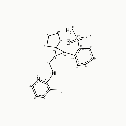 Cc1cccnc1NCC1C(c2ccccc2S(N)(=O)=O)C12CCCC2